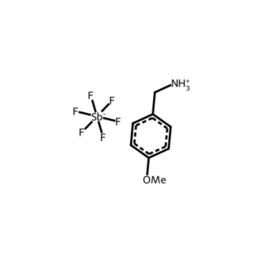 COc1ccc(C[NH3+])cc1.[F][Sb-]([F])([F])([F])([F])[F]